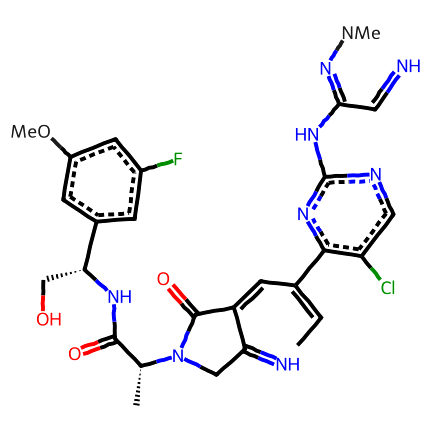 C/C=C(\C=C1/C(=N)CN([C@H](C)C(=O)N[C@H](CO)c2cc(F)cc(OC)c2)C1=O)c1nc(N/C(C=N)=N/NC)ncc1Cl